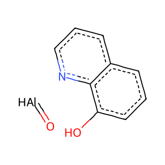 Oc1cccc2cccnc12.[O]=[AlH]